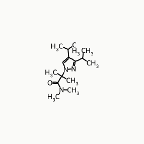 CC(C)c1cn(C(C)(C)C(=O)N(C)C)nc1C(C)C